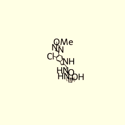 COc1cnc(-c2cc3[nH]c(CNC(=O)N[C@H]4CC[C@H]4O)cc3cc2Cl)cn1